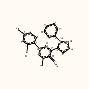 Cc1cn(-c2ccc(I)cc2F)nc(-c2ccnn2-c2ccccc2)c1=O